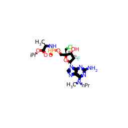 CCCN(C)c1nc(N)nc2c1ncn2[C@@H]1O[C@](CCl)(CO[PH](=O)N[C@@H](C)C(=O)OC(C)C)[C@@H](O)[C@@H]1F